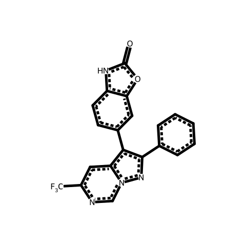 O=c1[nH]c2ccc(-c3c(-c4ccccc4)nn4cnc(C(F)(F)F)cc34)cc2o1